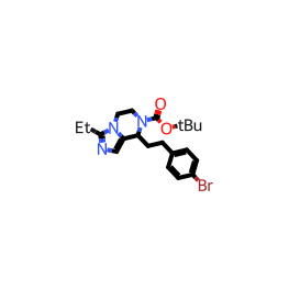 CCc1ncc2n1CCN(C(=O)OC(C)(C)C)C2CCc1ccc(Br)cc1